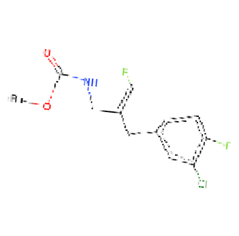 CC(C)(C)OC(=O)NCC(=CF)Cc1ccc(F)c(Cl)c1